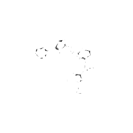 Cc1cc(Nc2cc(C3CC3)[nH]n2)nc(NCc2nc(-c3ccccc3)cs2)n1